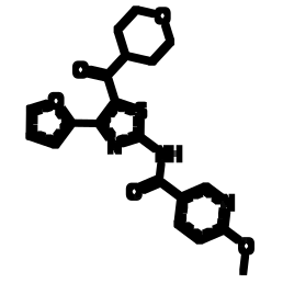 COc1ccc(C(=O)Nc2nc(-c3ccco3)c(C(=O)C3CCOCC3)s2)cn1